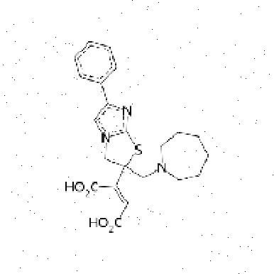 O=C(O)C=C(C(=O)O)C1(CN2CCCCCC2)Cn2cc(-c3ccccc3)nc2S1